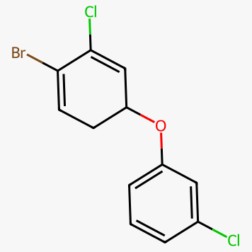 ClC1=CC(Oc2cccc(Cl)c2)CC=C1Br